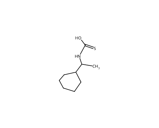 CC(NC(O)=S)C1CCCCC1